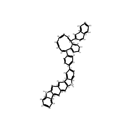 C1=c2c(-c3ccc(-c4ccc5oc6cc7cc8c(cc7cc6c5c4)sc4ccccc48)cc3)ccccccc(-c3ccc4ccccc4c3)c2=CCC1